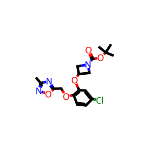 Cc1noc(COc2ccc(Cl)cc2OC2CN(C(=O)OC(C)(C)C)C2)n1